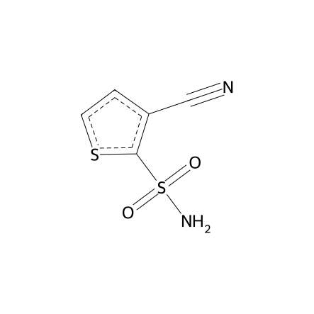 N#Cc1ccsc1S(N)(=O)=O